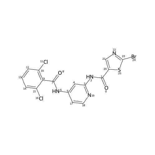 O=C(Nc1cc(NC(=O)c2c(Cl)cccc2Cl)ccn1)c1cnc(Br)s1